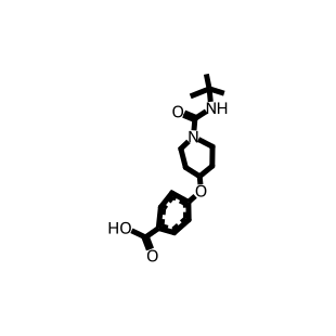 CC(C)(C)NC(=O)N1CCC(Oc2ccc(C(=O)O)cc2)CC1